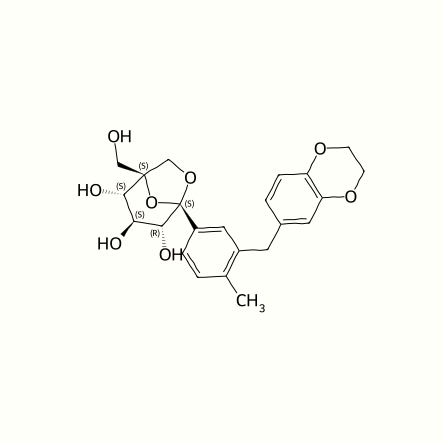 Cc1ccc([C@]23OC[C@](CO)(O2)[C@@H](O)[C@H](O)[C@H]3O)cc1Cc1ccc2c(c1)OCCO2